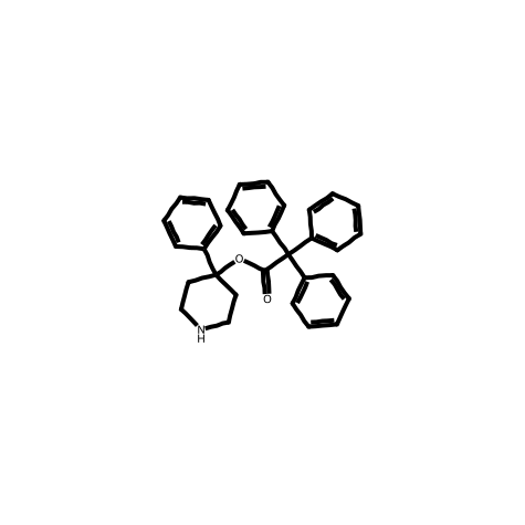 O=C(OC1(c2ccccc2)CCNCC1)C(c1ccccc1)(c1ccccc1)c1ccccc1